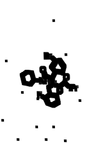 CC(C)C1Oc2ccc(Br)cc2C(C(=O)NC2CCCCC2)N(Cc2c(F)cccc2F)C1=O